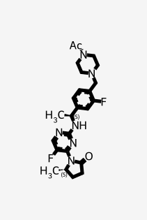 CC(=O)N1CCN(Cc2ccc([C@H](C)Nc3ncc(F)c(N4C(=O)CC[C@@H]4C)n3)cc2F)CC1